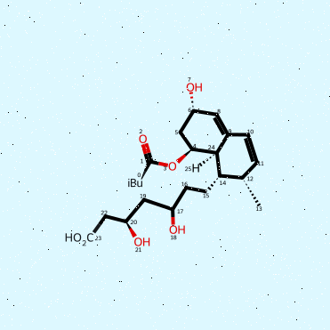 CC[C@H](C)C(=O)O[C@H]1C[C@H](O)C=C2C=C[C@H](C)[C@H](CCC(O)C[C@@H](O)CC(=O)O)[C@H]21